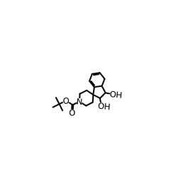 CC(C)(C)OC(=O)N1CCC2(CC1)C1=CC=CCC1C(O)C2O